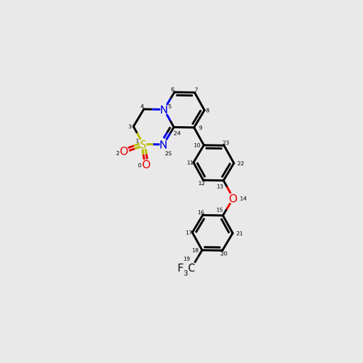 O=S1(=O)CCN2C=CC=C(c3ccc(Oc4ccc(C(F)(F)F)cc4)cc3)C2=N1